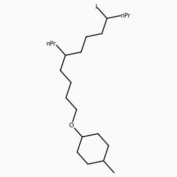 CCCC(I)CCCC(CCC)CCCCOC1CCC(C)CC1